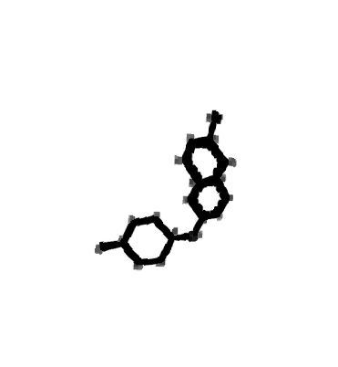 C[C@H]1CC[C@@H](Oc2ccc3cc(Br)ccc3c2)CC1